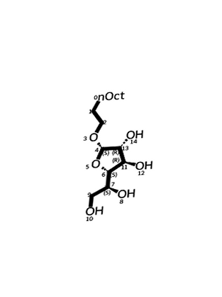 CCCCCCCCCCO[C@H]1O[C@@H]([C@@H](O)CO)[C@H](O)[C@H]1O